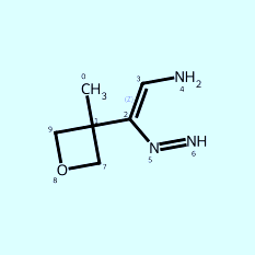 CC1(/C(=C/N)N=N)COC1